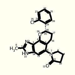 Cc1nc2c3c(c(N4CCCC4=O)cc2[nH]1)CC[C@@H](c1ccccc1Cl)O3